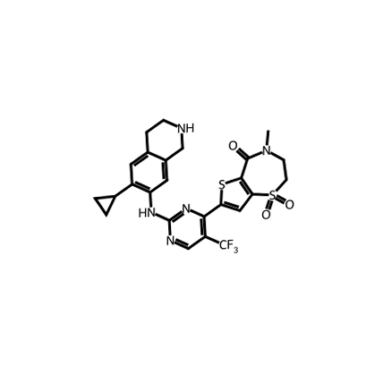 CN1CCS(=O)(=O)c2cc(-c3nc(Nc4cc5c(cc4C4CC4)CCNC5)ncc3C(F)(F)F)sc2C1=O